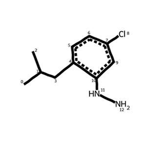 CC(C)Cc1ccc(Cl)cc1NN